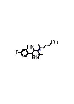 CCC(C)CCC/C(C)=C(\C(C)=N)C(=N)C(CC)c1ccc(F)cc1